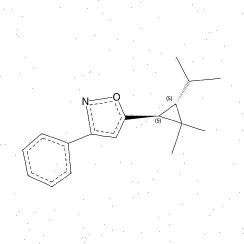 CC(C)[C@H]1[C@H](c2cc(-c3ccccc3)no2)C1(C)C